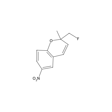 CC1(CF)C=Cc2cc([N+](=O)[O-])ccc2O1